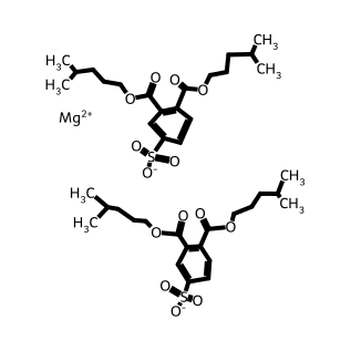 CC(C)CCCOC(=O)c1ccc(S(=O)(=O)[O-])cc1C(=O)OCCCC(C)C.CC(C)CCCOC(=O)c1ccc(S(=O)(=O)[O-])cc1C(=O)OCCCC(C)C.[Mg+2]